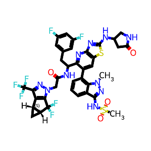 Cn1nc(NS(C)(=O)=O)c2cccc(-c3cc4sc(NC5CNC(=O)C5)nc4nc3C(Cc3cc(F)cc(F)c3)NC(=O)Cn3nc(C(F)(F)F)c4c3C(F)(F)[C@@H]3C[C@H]43)c21